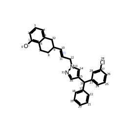 [O]c1cccc2c1CCC(/C=C/Cn1cc(C(c3ccccc3)c3cccc(Cl)c3)cn1)C2